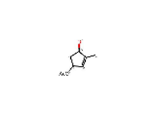 CC(=O)OC1C=C(C)C(=O)C1